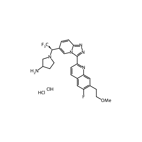 COCCc1cc2nc(-c3nnc4ccc([C@@H](N5CCC(N)C5)C(F)(F)F)cn34)ccc2cc1F.Cl.Cl